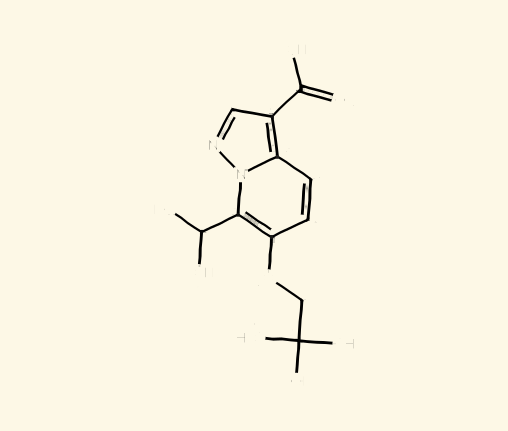 CC(=O)c1cnn2c(C(C)C)c(OCC(C)(C)O)ccc12